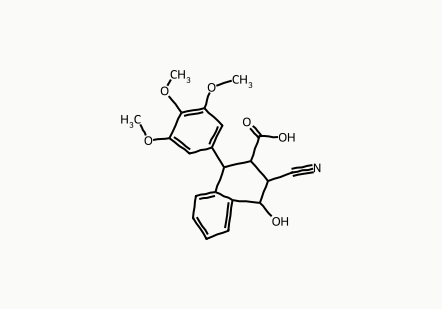 COc1cc(C2c3ccccc3C(O)C(C#N)C2C(=O)O)cc(OC)c1OC